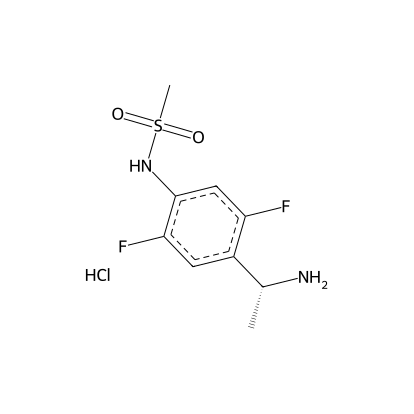 C[C@@H](N)c1cc(F)c(NS(C)(=O)=O)cc1F.Cl